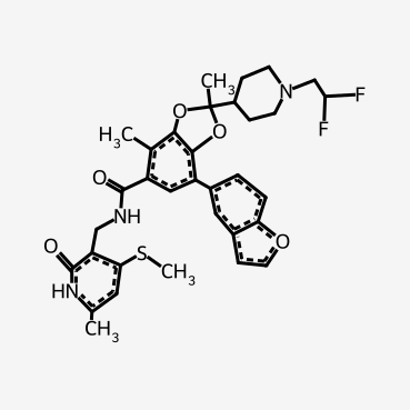 CSc1cc(C)[nH]c(=O)c1CNC(=O)c1cc(-c2ccc3occc3c2)c2c(c1C)OC(C)(C1CCN(CC(F)F)CC1)O2